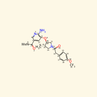 CNC(=O)c1cnc(N)c(O[C@H]2CN(C(=O)Cc3ccc(OC(F)(F)F)cc3)C[C@@H]2C)c1